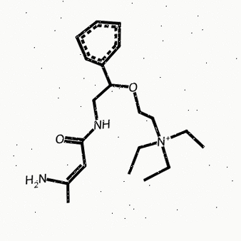 CC[N+](CC)(CC)CCOC(CNC(=O)C=C(C)N)c1ccccc1